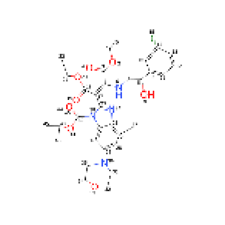 CCOC(=O)C(NC[C@@H](O)c1cccc(Cl)c1)=C(C(=O)OCC)c1nc2c(C)cc(N3CCOCC3)cc2n1C(=O)OC(C)(C)C